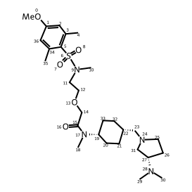 COc1cc(C)c(S(=O)(=O)N(C)CCOCC(=O)N(C)[C@H]2CC[C@@H](CN3CC[C@H](N(C)C)C3)CC2)c(C)c1